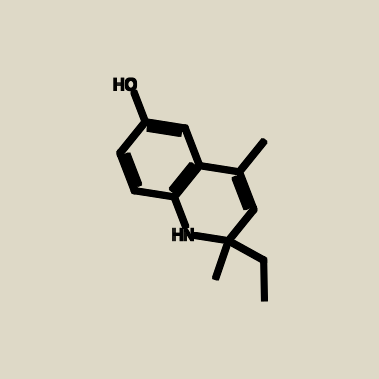 CCC1(C)C=C(C)c2cc(O)ccc2N1